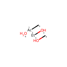 CC(C)=O.CCO.CO.O